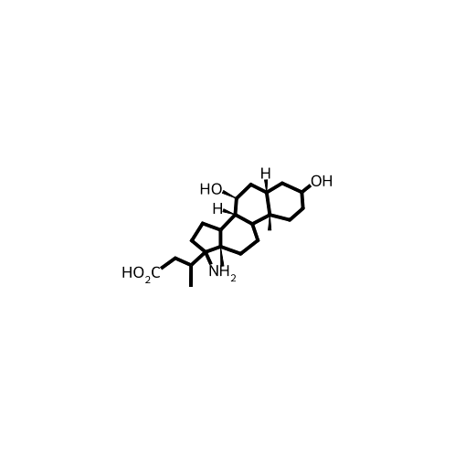 CC(CC(=O)O)C1(N)CCC2[C@H]3C(CC[C@@]21C)[C@@]1(C)CCC(O)C[C@H]1C[C@@H]3O